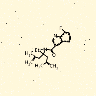 C=C(C)CC(CC)(CC(=C)C)NC(=O)c1cnc2c(F)cccc2c1